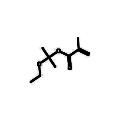 C=C(C)C(=O)OC(C)(C)OCC